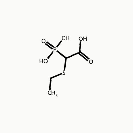 CCSC(C(=O)O)P(=O)(O)O